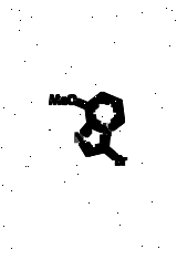 COc1cccn2c(Br)cnc12